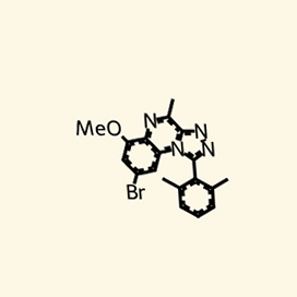 COc1cc(Br)cc2c1nc(C)c1nnc(-c3c(C)cccc3C)n12